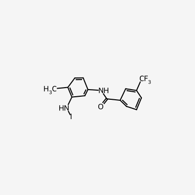 Cc1ccc(NC(=O)c2cccc(C(F)(F)F)c2)cc1NI